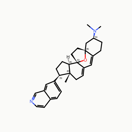 CN(C)[C@H]1CCC2=CC3=CC[C@]4(C)[C@@H](c5ccc6ccncc6c5)CC[C@H]4[C@@]34CC[C@]2(C1)O4